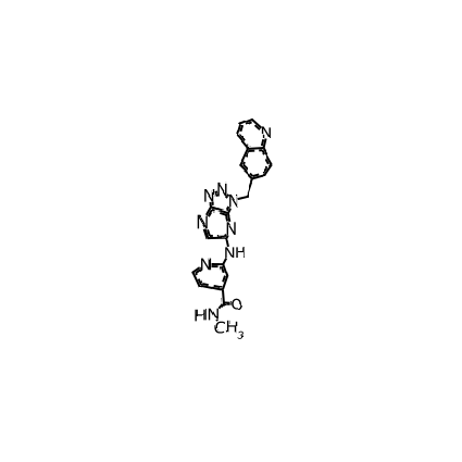 CNC(=O)c1ccnc(Nc2cnc3nnn(Cc4ccc5ncccc5c4)c3n2)c1